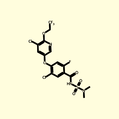 CN(C)S(=O)(=O)NC(=O)c1cc(Cl)c(Oc2cnc(OCC(F)(F)F)c(Cl)c2)cc1F